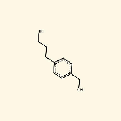 CCC(C)CCCc1ccc(CO)cc1